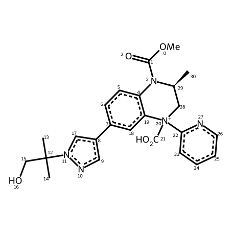 COC(=O)N1c2ccc(-c3cnn(C(C)(C)CO)c3)cc2[N+](C(=O)O)(c2ccccn2)C[C@@H]1C